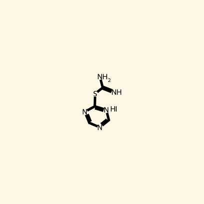 I.N=C(N)Sc1ncncn1